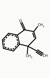 C#CC1(C)C=C(C)C(=O)c2ccccc21